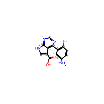 Nc1ccc(F)c(-c2ncnc3[nH]cc(C(=O)O)c23)c1